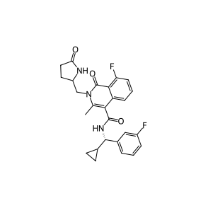 Cc1c(C(=O)N[C@H](c2cccc(F)c2)C2CC2)c2cccc(F)c2c(=O)n1CC1CCC(=O)N1